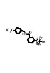 O=C(O)c1ccc(CNC(=O)c2cccc(S(=O)(=O)C(Br)(Br)Br)c2)cc1